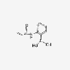 C=CC(=O)Nc1ccccc1B(O)O